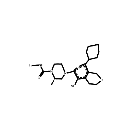 CCNC(=O)N1CCN(c2nc(C3CCCCC3)c3c(c2C#N)CCOC3)C[C@H]1C